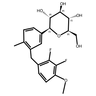 COc1ccc(Cc2cc([C@@H]3O[C@H](CO)[C@@H](O)[C@H](O)[C@H]3O)ccc2C)c(F)c1F